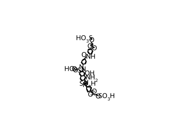 Nc1c(/N=N/c2ccc(S(=O)(=O)CCOS(=O)(=O)O)cc2)c(S(=O)(=O)O)cc2cc(SOOO)c(/N=N/c3ccc(C(=O)Nc4ccc(S(=O)(=O)CCOS(=O)(=O)O)cc4)cc3)c(O)c12